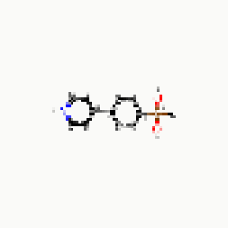 CS(=O)(=O)c1ccc(-c2ccncc2)cc1